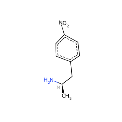 C[C@@H](N)Cc1ccc([N+](=O)[O-])cc1